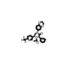 CC(=O)O[C@H](C(=O)N(CCc1ccc(C(F)(F)F)nc1)c1ccc2c(c1)OCCO2)c1ccccc1